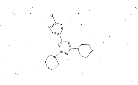 Clc1ccc(-c2nc(N3CCOCC3)nc(N3CCOCC3)n2)cn1